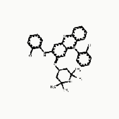 CC1(C)CC(N=c2cc3n(-c4ccccc4Cl)c4ccccc4nc-3cc2Nc2ccccc2Cl)CC(C)(C)N1